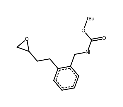 CC(C)(C)OC(=O)NCc1ccccc1CCC1CO1